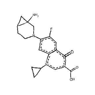 NC12CC1CCN(c1cc3c(cc1F)c(=O)c(C(=O)O)cn3C1CC1)C2